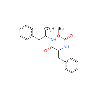 CC(C)(C)OC(=O)NC(Cc1ccccc1)C(=O)NC(Cc1ccccc1)C(=O)O